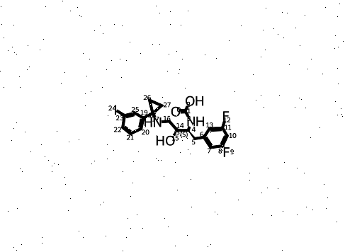 O=C(O)N[C@@H](Cc1cc(F)cc(F)c1)[C@@H](O)CNC1(c2cccc(I)c2)CC1